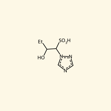 CCC(O)C(n1cncn1)S(=O)(=O)O